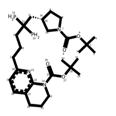 CC(C)(C)OC(=O)N1CC[C@@H](CC(P)(P)CCCc2ccc3c(n2)N(C(=O)OC(C)(C)C)CCC3)C1